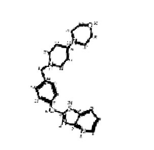 c1cnc2nc(Oc3ccc(CN4CCC(N5CCOCC5)CC4)cc3)sc2c1